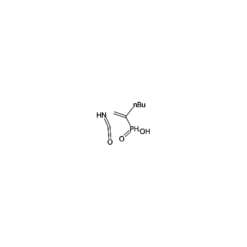 C=C(CCCC)[PH](=O)O.N=C=O